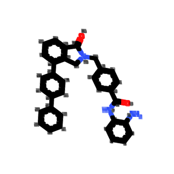 Nc1ccccc1NC(=O)c1ccc(CN2Cc3c(cccc3-c3ccc(-c4ccccc4)cc3)C2=O)cc1